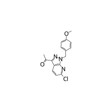 COc1ccc(Cn2nc(C(C)=O)c3ccc(Cl)nc32)cc1